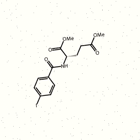 COC(=O)CC[C@H](NC(=O)c1ccc(I)cc1)C(=O)OC